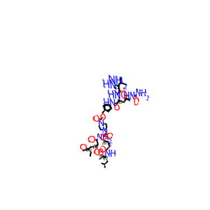 CC[C@@]1(C[C@@H](CC(N)=O)OO[C@H](C)[C@@H](CC(C)C)NC(=O)/C=C\[C@H](C)OC(=O)N2CCN(C(=O)OCc3ccc(NC(=O)[C@H](CCCNC(N)=O)NC(=O)[C@@H](NN)C(C)C)cc3)CC2)CO1